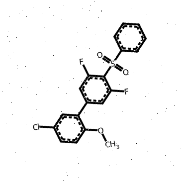 COc1ccc(Cl)cc1-c1cc(F)c(S(=O)(=O)c2ccccc2)c(F)c1